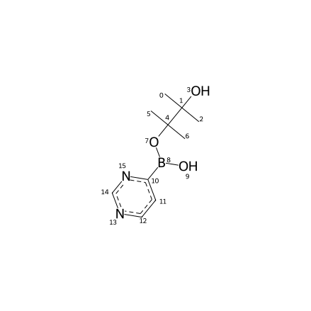 CC(C)(O)C(C)(C)OB(O)c1ccncn1